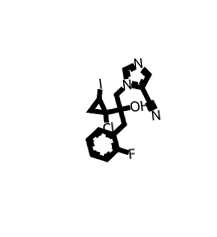 N#Cc1cncn1CC(O)(Cc1ccccc1F)C1(Cl)CC1I